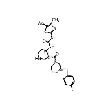 CC(=O)c1sc(NC(=O)N[C@@H]2CCNC[C@H]2C(=O)N2CCC[C@@H](Cc3ccc(F)cc3)C2)nc1C